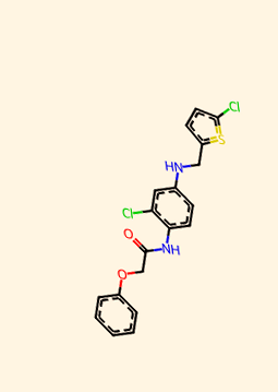 O=C(COc1ccccc1)Nc1ccc(NCc2ccc(Cl)s2)cc1Cl